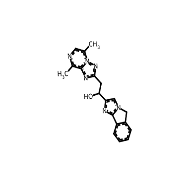 Cc1ncc(C)n2nc(CC(O)c3cn4c(n3)-c3ccccc3C4)nc12